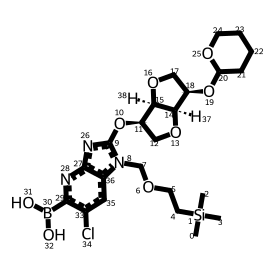 C[Si](C)(C)CCOCn1c(O[C@@H]2CO[C@H]3[C@@H]2OC[C@H]3OC2CCCCO2)nc2nc(B(O)O)c(Cl)cc21